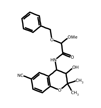 COC(OCc1ccccc1)C(=O)NC1c2cc(C#N)ccc2OC(C)(C)C1O